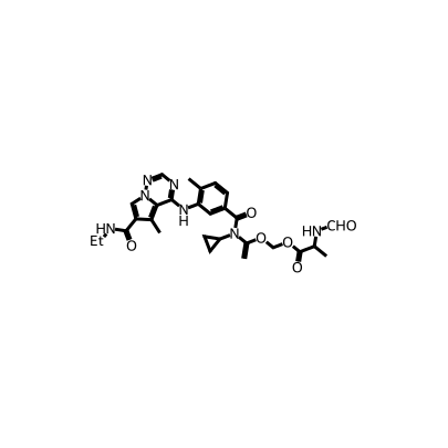 C=C(OCOC(=O)C(C)NC=O)N(C(=O)c1ccc(C)c(Nc2ncnn3cc(C(=O)NCC)c(C)c23)c1)C1CC1